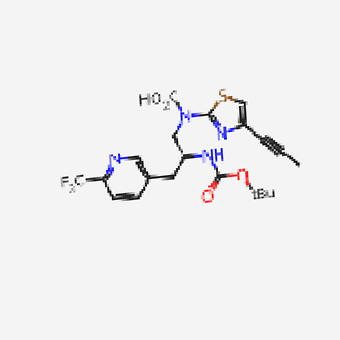 CC#Cc1csc(N(C[C@H](Cc2ccc(C(F)(F)F)nc2)NC(=O)OC(C)(C)C)C(=O)O)n1